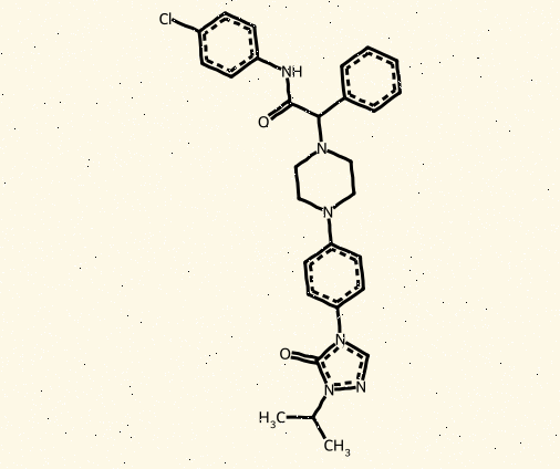 CC(C)n1ncn(-c2ccc(N3CCN(C(C(=O)Nc4ccc(Cl)cc4)c4ccccc4)CC3)cc2)c1=O